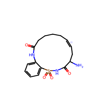 NC1C/C=C\CCCCC(=O)Nc2ccccc2S(=O)(=O)NC1=O